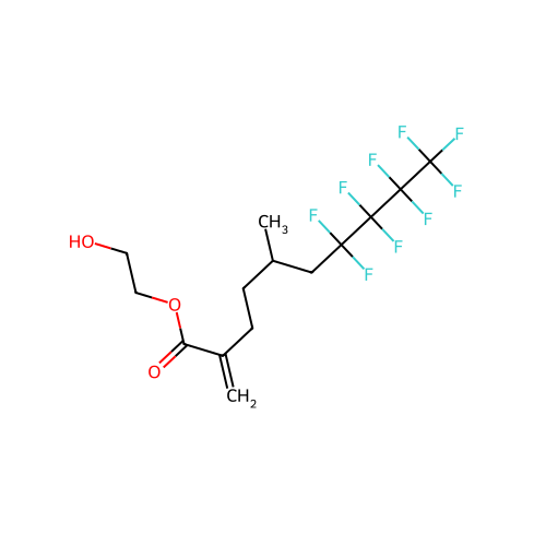 C=C(CCC(C)CC(F)(F)C(F)(F)C(F)(F)C(F)(F)F)C(=O)OCCO